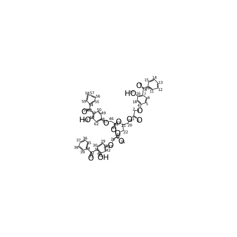 O=C(COc1ccc(C(=O)c2ccccc2)c(O)c1)OCC(COC(=O)COc1ccc(C(=O)c2ccccc2)c(O)c1)OC(=O)COc1ccc(C(=O)c2ccccc2)c(O)c1